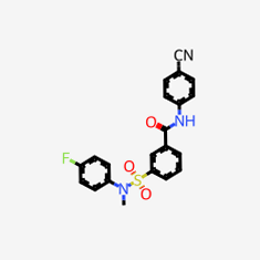 CN(c1ccc(F)cc1)S(=O)(=O)c1cccc(C(=O)Nc2ccc(C#N)cc2)c1